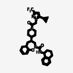 O=C(Cn1nc(C(F)(F)F)cc1C1CC1)N1CCC(C2CC3CC=CC=C3ON(C(=O)NC3CCCc4ccccc43)C2)CC1